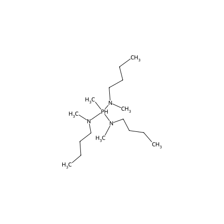 CCCCN(C)[PH](C)(N(C)CCCC)N(C)CCCC